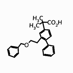 CC(C)(C(=O)O)c1ccc(-c2ccccc2)c(CCOCc2ccccc2)c1